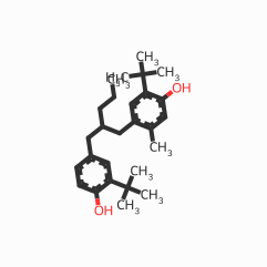 CCCC(Cc1ccc(O)c(C(C)(C)C)c1)Cc1cc(C(C)(C)C)c(O)cc1C